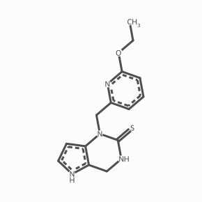 CCOc1cccc(CN2C(=S)NCc3[nH]ccc32)n1